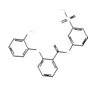 COc1ccccc1Oc1ccccc1C(=O)Nc1cccc(S(N)(=O)=O)c1